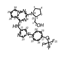 OC[C@@H]1CCCN1c1nc(Nc2cn(-c3ccc(OC(F)(F)F)cc3)cn2)c2cccn2n1